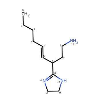 CCCCC=CC(CCN)C1=NCCN1